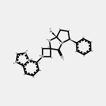 O=C1N2[C@@H](CC[C@H]2c2ccccc2)OC12CN(c1cccc3ncnn13)C2